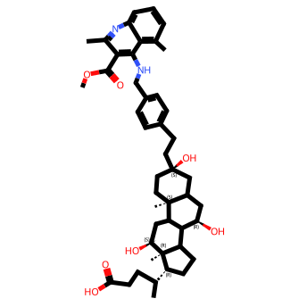 COC(=O)c1c(C)nc2cccc(C)c2c1NCc1ccc(CC[C@@]2(O)CC[C@@]3(C)C(C[C@@H](O)C4C3C[C@H](O)[C@@]3(C)C4CC[C@@H]3C(C)CCC(=O)O)C2)cc1